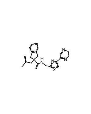 C=C(C)CC1(C(=C)NCc2nc(C3=NCCN=C3)cs2)Cc2ccccc2C1